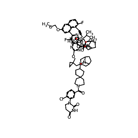 COCOc1cc(-c2ncc3c(N4CC5CCC(C4)N5C(=O)OC(C)(C)C)nc(OCC4(CN5CC6CCC(C5)N6CC5CCC6(CC5)CCN(C(=O)c5ccc(Cl)c(N7CCC(=O)NC7=O)c5)CC6)CC4)nc3c2F)c2c(C#C[Si](C(C)C)(C(C)C)C(C)C)c(F)ccc2c1